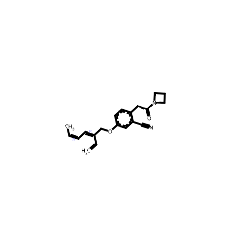 C=C/C(=C\C=C/C)COc1ccc(CC(=O)N2CCC2)c(C#N)c1